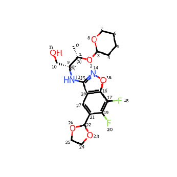 C[C@H](OC1CCCCO1)[C@@H](CO)Nc1noc2c(F)c(F)c(C3OCCO3)cc12